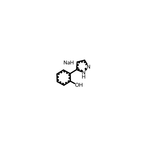 Oc1ccccc1-c1ccn[nH]1.[NaH]